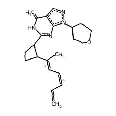 C=C/C=C\C=C(/C)C1CCC1C1=Nc2c(cnn2C2CCOCC2)C(=C)N1